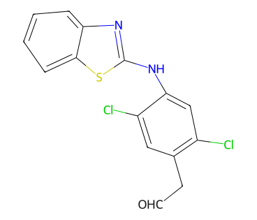 O=CCc1cc(Cl)c(Nc2nc3ccccc3s2)cc1Cl